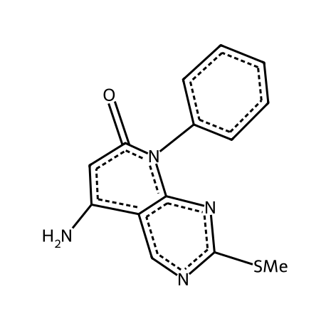 CSc1ncc2c(N)cc(=O)n(-c3ccccc3)c2n1